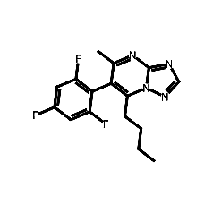 CCCCc1c(-c2c(F)cc(F)cc2F)c(C)nc2ncnn12